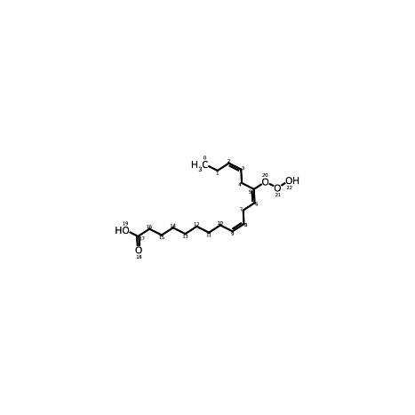 CC/C=C\C/C(=C\C/C=C\CCCCCCCC(=O)O)OOO